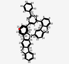 c1ccc(-c2cc(-c3cccc4sc5ccc(-n6c7ccccc7c7cc8sc9ccccc9c8cc76)cc5c34)nc(-c3ccccc3)n2)cc1